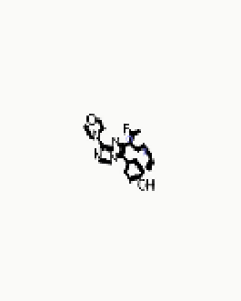 C#C/C=C\C/C(=C(\C)F)c1nc2c(N3CCOCC3)nccn2c1C1C=CC(O)=CC1